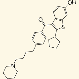 O=C(c1ccc(CCCCN2CCCCC2)cc1)c1c(C2CCCC2)sc2cc(O)ccc12